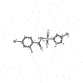 Cc1cc(Br)ccc1C(=O)NS(=O)(=O)c1cc(Br)cs1